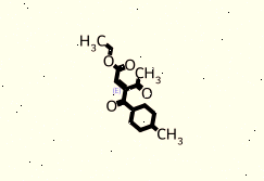 CCOC(=O)/C=C(\C(C)=O)C(=O)C1CCC(C)CC1